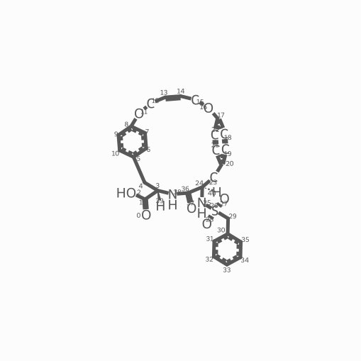 O=C(O)[C@@H]1Cc2ccc(cc2)OC/C=C\COc2ccc(cc2)C[C@@H](NS(=O)(=O)Cc2ccccc2)C(=O)N1